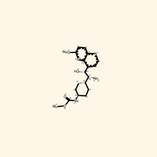 COc1ccc2nccc([C@@H](O)[C@H](N)[C@H]3CC[C@H](NC(=O)OC(C)(C)C)CC3)c2n1